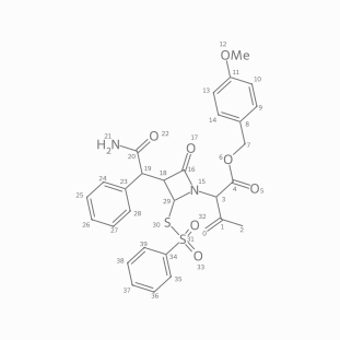 C=C(C)C(C(=O)OCc1ccc(OC)cc1)N1C(=O)C(C(C(N)=O)c2ccccc2)C1SS(=O)(=O)c1ccccc1